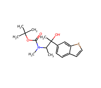 CC(N(C)C(=O)OC(C)(C)C)C(C)(O)c1ccc2ccsc2c1